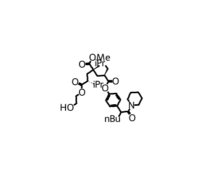 CCCCC(C(=O)N1CCCCC1)c1ccc(OC(=O)[C@H](CC(C)C)C[C@](C)(C[C@@H](C(=O)OCCO)C(C)C)C(=O)OC)cc1